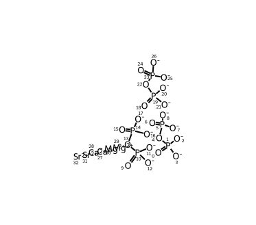 O=P([O-])([O-])OP(=O)([O-])[O-].O=P([O-])([O-])OP(=O)([O-])[O-].O=P([O-])([O-])OP(=O)([O-])[O-].[Ca+2].[Ca+2].[Mg+2].[Mg+2].[Sr+2].[Sr+2]